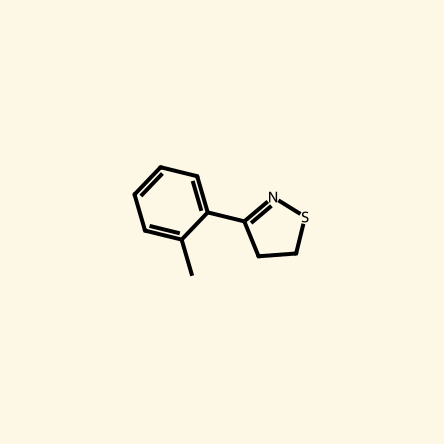 Cc1ccccc1C1=NSCC1